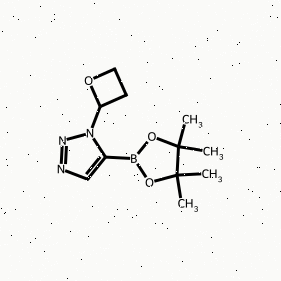 CC1(C)OB(c2cnnn2C2CCO2)OC1(C)C